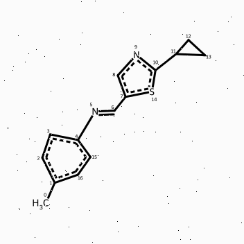 Cc1ccc(/N=C/c2cnc(C3CC3)s2)cc1